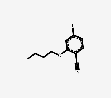 CCCCOc1cc(I)ccc1C#N